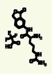 NC(=O)NCCC[C@H](N)C(=O)Nc1ccc2c(c1)C(=O)OC2.O=C(O)C(F)(F)F